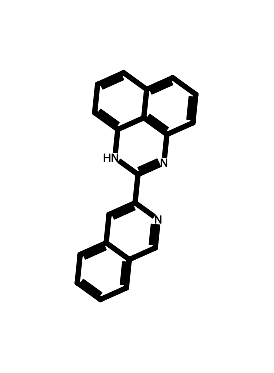 c1ccc2cc(C3=Nc4cccc5cccc(c45)N3)ncc2c1